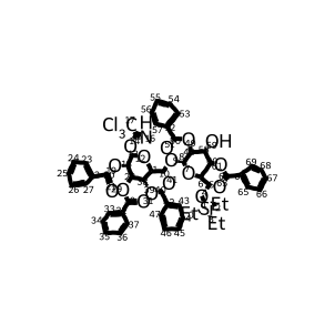 CC[Si](CC)(CC)OCC1O[C@@H](OCC2OC(OC(=N)C(Cl)(Cl)Cl)[C@H](OC(=O)c3ccccc3)C(OC(=O)c3ccccc3)[C@@H]2OC(=O)c2ccccc2)C(OC(=O)c2ccccc2)[C@@H](O)C1OC(=O)c1ccccc1